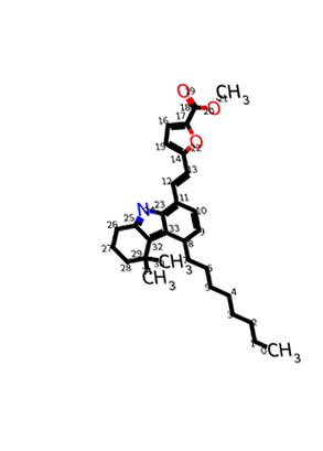 CCCCCCCCC1C=CC(/C=C/c2ccc(C(=O)OC)o2)=C2N=C3CCCC(C)(C)C3=C21